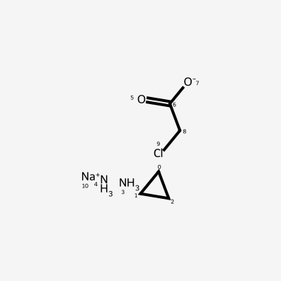 C1CC1.N.N.O=C([O-])CCl.[Na+]